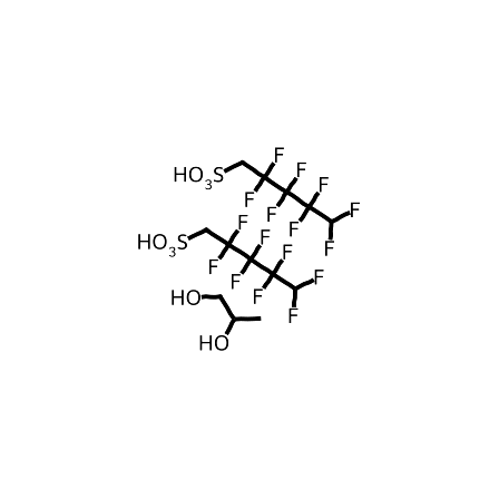 CC(O)CO.O=S(=O)(O)CC(F)(F)C(F)(F)C(F)(F)C(F)F.O=S(=O)(O)CC(F)(F)C(F)(F)C(F)(F)C(F)F